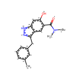 CCCCN(C)C(=O)c1cc2c(Cc3cccc(C)c3)n[nH]c2cc1O